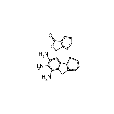 Nc1cc2c(c(N)c1N)Cc1ccccc1-2.O=C1OCc2ccccc21